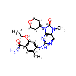 CCOc1cc(Nc2ncc3c(n2)n(C2CCOCC2)c(=O)n3C)c(C)cc1C(N)=O